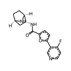 O=C(N[C@@H]1C[C@H]2CC[C@@H]1N2)c1ccc(-c2cnccc2F)o1